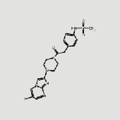 CS(=O)(=O)Nc1ccc(CC(=O)N2CCN(c3cn4cc(F)cnc4n3)CC2)cc1